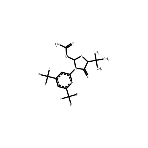 CC(C)(C)C1SC(OC(N)=O)N(c2cc(C(F)(F)F)cc(C(F)(F)F)n2)C1=O